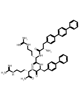 N=C(N)NCCC[C@H](NC(=O)[C@H](Cc1ccc(-c2ccccc2)cc1)NC(=O)[C@H](CCCNC(=N)N)NC(=O)[C@@H](N)Cc1ccc(-c2ccc(-c3ccccc3)cc2)cc1)C(N)=O